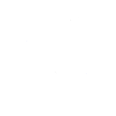 C(=C\c1cccc(-c2c3ccc(N(c4ccccc4)c4cccc(-c5ccccc5)c4)cc3c(-c3cccc(/C=C/c4ccccc4)c3)c3ccc(N(c4ccccc4)c4cccc(-c5ccccc5)c4)cc23)c1)/c1ccccc1